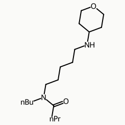 CCCCN(CCCCCNC1CCOCC1)C(=O)CCC